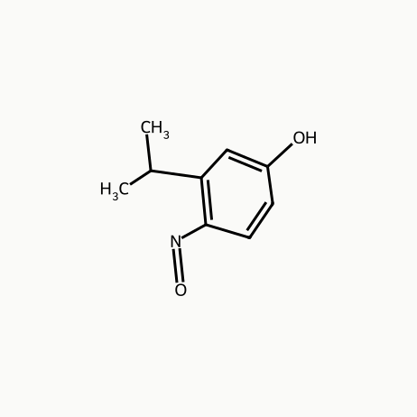 CC(C)c1cc(O)ccc1N=O